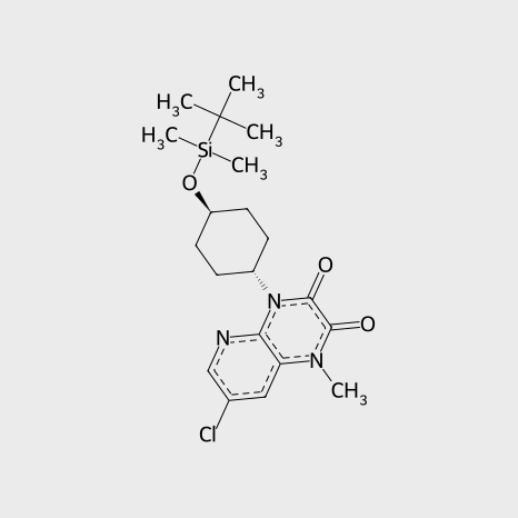 Cn1c(=O)c(=O)n([C@H]2CC[C@H](O[Si](C)(C)C(C)(C)C)CC2)c2ncc(Cl)cc21